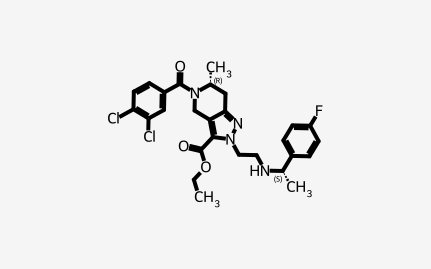 CCOC(=O)c1c2c(nn1CCN[C@@H](C)c1ccc(F)cc1)C[C@@H](C)N(C(=O)c1ccc(Cl)c(Cl)c1)C2